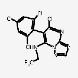 FC(F)(F)CNc1c(-c2c(Cl)cc(Cl)cc2Cl)c(Cl)nc2ncnn12